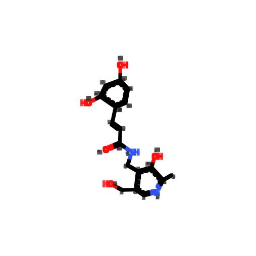 Cc1ncc(CO)c(CNC(=O)C=Cc2ccc(O)cc2O)c1O